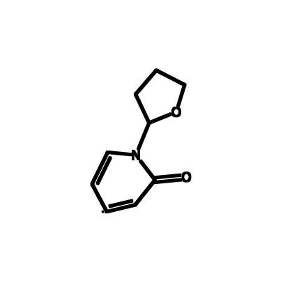 O=c1c[c]ccn1C1CCCO1